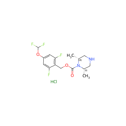 C[C@@H]1CNC[C@H](C)N1C(=O)OCc1c(F)cc(OC(F)F)cc1F.Cl